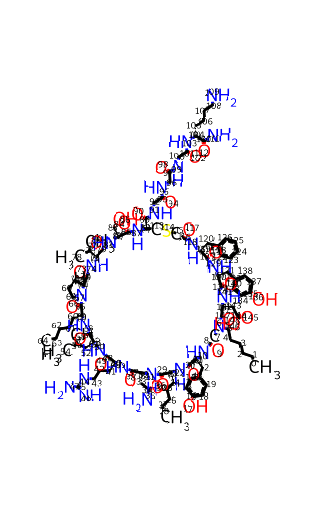 CCCCCCN1CC(=O)N[C@@H](Cc2ccc(O)cc2)C(=O)N[C@@H](CCCCC)C(=O)N[C@H](CC(N)=O)C(=O)N[C@@H](CCCNC(=N)N)C(=O)N[C@@H](CC(C)C)C(=O)N[C@@H](CCCCC)C(=O)N2CCC[C@H]2C(=O)N[C@@H](C(C)C)C(=O)N[C@@H](CO)C(=O)N[C@@H](C(=O)NCC(=O)NCC(=O)NCC(=O)N[C@H](CCCCN)C(N)=O)CSCC(=O)N[C@@H](Cc2ccccc2)C(=O)N[C@@H](Cc2ccc(O)cc2)C(=O)N[C@@H](CC(=O)O)C1=O